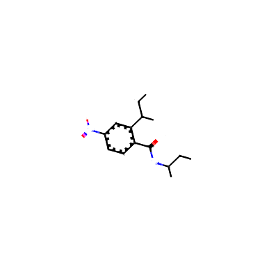 CCC(C)NC(=O)c1ccc([N+](=O)[O-])cc1C(C)CC